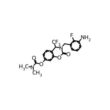 CN(C)C(=O)Oc1ccc2c(c1)OC(=O)N(Cc1cccc(N)c1F)C2C(F)(F)F